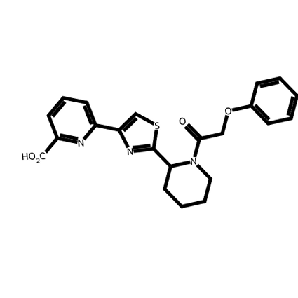 O=C(O)c1cccc(-c2csc(C3CCCCN3C(=O)COc3ccccc3)n2)n1